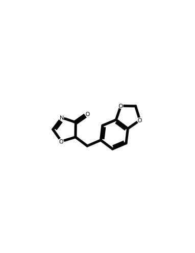 O=C1N=COC1Cc1ccc2c(c1)OCO2